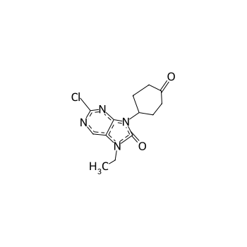 CCn1c(=O)n(C2CCC(=O)CC2)c2nc(Cl)ncc21